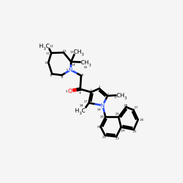 Cc1cc(C(=O)CN2CCCC(C)CC2(C)C)c(C)n1-c1cccc2ccccc12